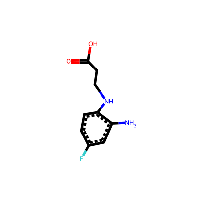 Nc1cc(F)ccc1NCCC(=O)O